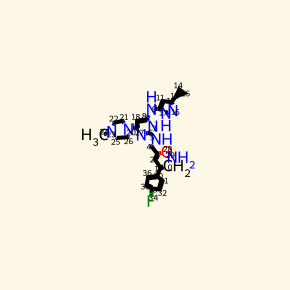 C=C(/C=C(/CNc1nc(Nc2cc(C3CC3)n[nH]2)cc(N2CCN(C)CC2)n1)ON)c1ccc(F)cc1